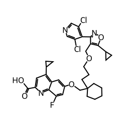 O=C(O)c1cc(C2CC2)c2cc(OCC3(CCCOCc4c(-c5c(Cl)cncc5Cl)noc4C4CC4)CCCCC3)cc(F)c2n1